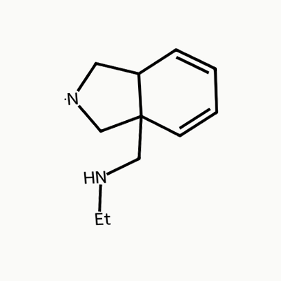 CCNCC12C=CC=CC1C[N]C2